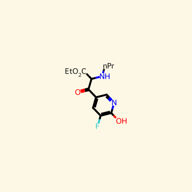 CCCNC(C(=O)OCC)C(=O)c1cnc(O)c(F)c1